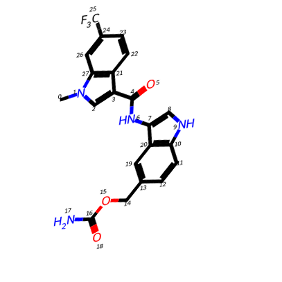 Cn1cc(C(=O)Nc2c[nH]c3ccc(COC(N)=O)cc23)c2ccc(C(F)(F)F)cc21